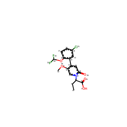 CCC(C(=O)O)n1cc(OC)c(-c2cc(Cl)ccc2OC(F)F)cc1=O